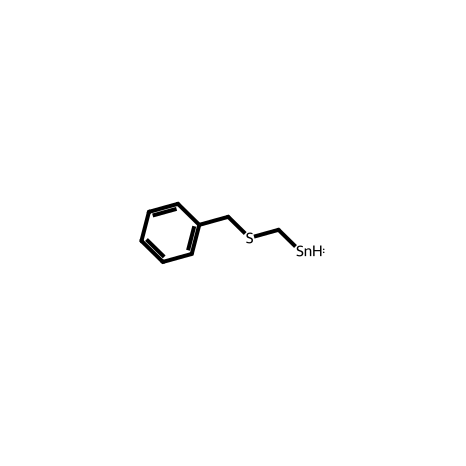 [SnH][CH2]SCc1ccccc1